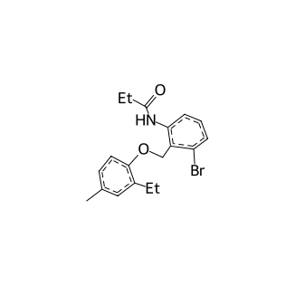 CCC(=O)Nc1cccc(Br)c1COc1ccc(C)cc1CC